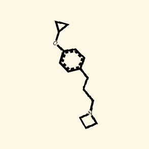 c1cc(OC2CC2)ccc1CCCN1CCC1